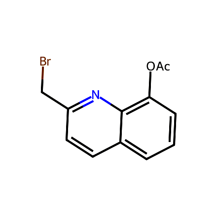 CC(=O)Oc1cccc2ccc(CBr)nc12